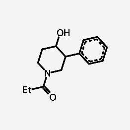 CCC(=O)N1CCC(O)C(c2ccccc2)C1